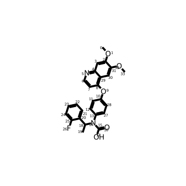 COc1cc2nccc(Oc3ccc(N(C(=O)O)C(C)c4ccccc4F)cc3)c2cc1OC